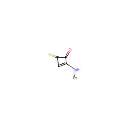 CCNc1cc(=S)c1=O